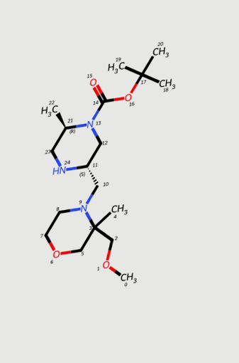 COCC1(C)COCCN1C[C@H]1CN(C(=O)OC(C)(C)C)[C@H](C)CN1